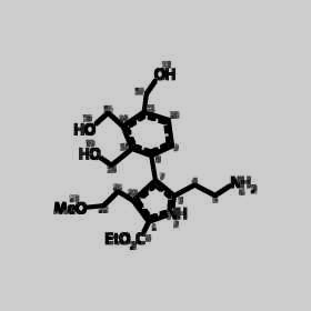 CCOC(=O)c1[nH]c(CCN)c(-c2ccc(CO)c(CO)c2CO)c1CCOC